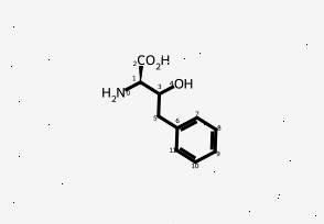 N[C@@H](C(=O)O)C(O)Cc1ccccc1